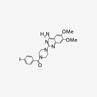 COc1cc2nc(N3CCN(C(=O)c4ccc(I)cc4)CC3)nc(N)c2cc1OC